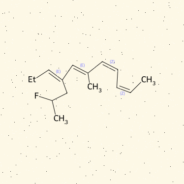 C\C=C/C=C\C(C)=C\C(=C\CC)CC(C)F